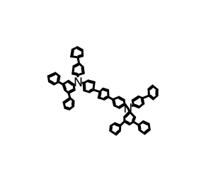 c1ccc(-c2ccc(N(c3ccc(-c4ccc(-c5ccc(N(c6ccc(-c7ccccc7)cc6)c6cc(-c7ccccc7)cc(-c7ccccc7)c6)cc5)cc4)cc3)c3cc(-c4ccccc4)cc(-c4ccccc4)c3)cc2)cc1